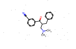 CN(C)CC(Cc1ccccc1)C(=O)c1cccc(C#N)c1